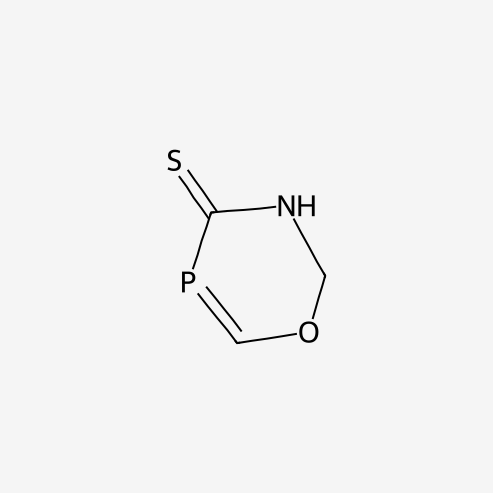 S=C1NCOC=P1